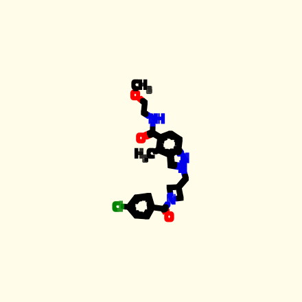 COCCNC(=O)c1ccc2nn(CC3CN(C(=O)c4ccc(Cl)cc4)C3)cc2c1C